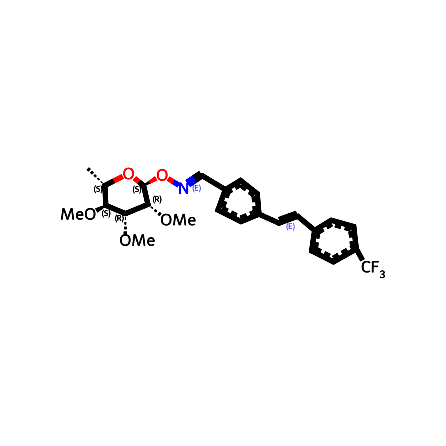 CO[C@@H]1[C@@H](OC)[C@H](C)O[C@@H](O/N=C/c2ccc(/C=C/c3ccc(C(F)(F)F)cc3)cc2)[C@@H]1OC